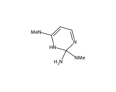 CNC1=CC=NC(N)(NC)N1